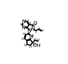 C=CCn1c(=O)c2cncnc2n1-c1ccc2c(n1)C(O)(CC)CC2